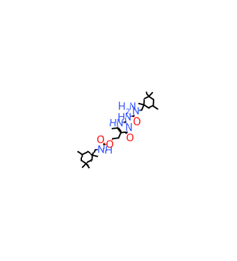 Cc1[nH]c(NC(=O)N(N)CC2(C)CC(C)CC(C)(C)C2)nc(=O)c1CCOC(=O)NCC1(C)CC(C)CC(C)(C)C1